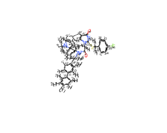 [2H]c1c([2H])c(C(F)(F)F)c([2H])c([2H])c1-c1c([2H])c([2H])c(C([2H])([2H])N(C(=O)C([2H])([2H])n2c(SC([2H])([2H])c3ccc(F)cc3)nc(=O)c3c2CCC3)C([2H])([2H])C([2H])([2H])N(C([2H])([2H])C)C([2H])([2H])C)c(C)c1[2H]